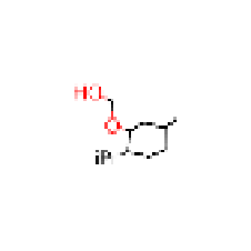 CC1CCC(C(C)C)C(OCO)C1